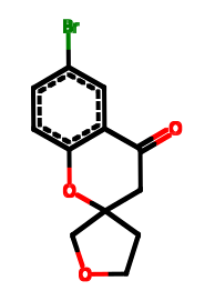 O=C1CC2(CCOC2)Oc2ccc(Br)cc21